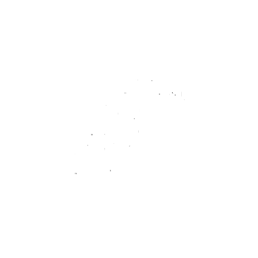 NC1=CC(c2ccc3c4c(cccc24)-c2ccccc2-3)=CCC1